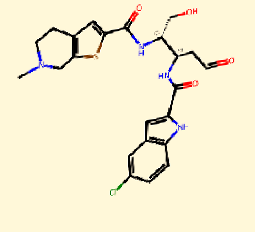 CN1CCc2cc(C(=O)N[C@H](CO)[C@@H](CC=O)NC(=O)c3cc4cc(Cl)ccc4[nH]3)sc2C1